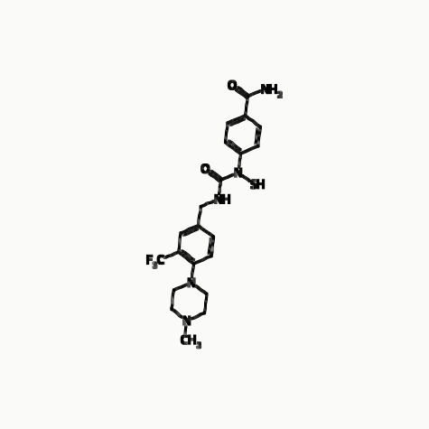 CN1CCN(c2ccc(CNC(=O)N(S)c3ccc(C(N)=O)cc3)cc2C(F)(F)F)CC1